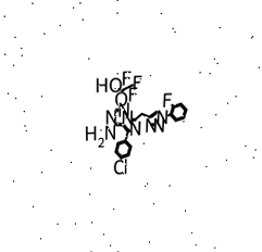 Nc1ncnn2c(Cc3cn(-c4ccccc4F)nn3)nc(-c3ccc(Cl)cc3)c12.O=C(O)C(F)(F)F